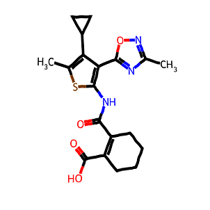 Cc1noc(-c2c(NC(=O)C3=C(C(=O)O)CCCC3)sc(C)c2C2CC2)n1